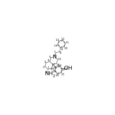 N[C@@H]1CCC2CN(CCc3ccccc3)CCC2(c2cccc(O)c2)C1